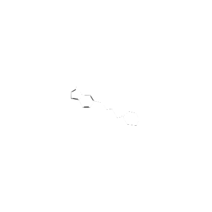 c1cc2ccc(OCCCN3CCOCC3)cn2n1